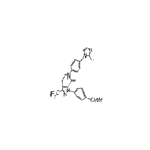 [CH2]c1nccn1-c1ccc(N2CCc3c(C(F)(F)F)nn(-c4ccc(OC)cc4)c3C2=C)cc1